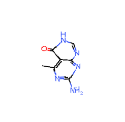 Cc1nc(N)nc2nc[nH]c(=O)c12